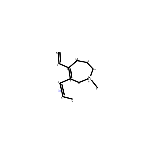 C=CC1=C(/C=C\C)CN(C)CCC1